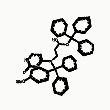 COc1ccc(C(c2ccccc2)(c2ccccc2)N(CCC(O)OC(c2ccccc2)(c2ccccc2)c2ccccc2)c2cc[nH]c(=O)n2)cc1